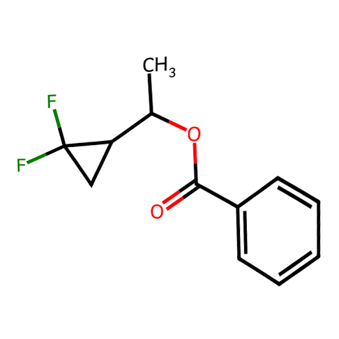 CC(OC(=O)c1ccccc1)C1CC1(F)F